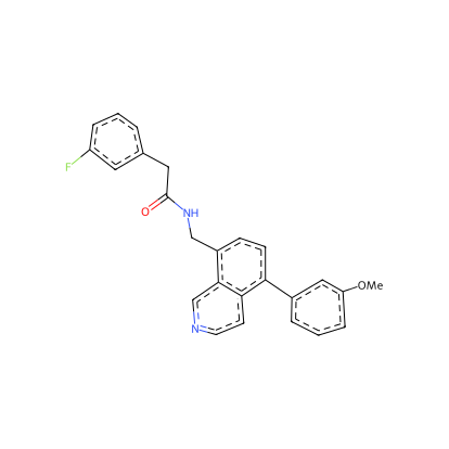 COc1cccc(-c2ccc(CNC(=O)Cc3cccc(F)c3)c3cnccc23)c1